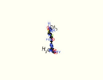 C[C@@H]1CNc2c(sc3ccc4nc(-c5ccc(C(=O)N[C@H]6C[C@H](CCN7CCN(c8ccc9c(C%10CCC(=O)NC%10=O)nn(C)c9c8)CC7)C6)cc5F)ccc4c23)C(=O)N1